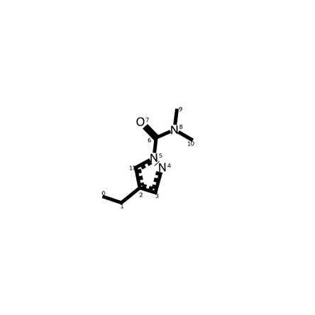 CCc1cnn(C(=O)N(C)C)c1